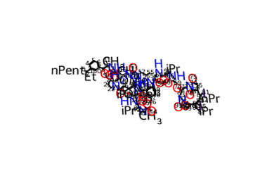 CCCCCC(CC)c1cccc([C@H](O)[C@@H](C)NC(=O)[C@H](C)[C@@H](OC)[C@@H]2CCCN2C(=O)C[C@@H](OC)[C@H]([C@@H](C)CC)N(C)C(=O)[C@@H](NC(=O)[C@H](C(C)C)N(C)C(=O)OCc2ccc(NC(=O)[C@H](CCCNC(N)=O)NC(=O)[C@@H](NC(=O)COC3CN4C(=O)CC(C4=O)C(I)(CCC)CC(I)(CC(C)C)C4CC(=O)N(C3)C4=O)C(C)C)cc2)C(C)C)c1